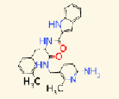 Cc1cccc(C[C@H](NC(=O)c2cc3ccccc3[nH]2)C(=O)NCc2ccc(N)nc2C)c1